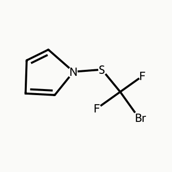 FC(F)(Br)Sn1cccc1